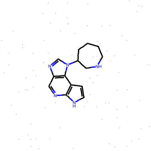 c1cc2c(ncc3ncn(C4CCCCNC4)c32)[nH]1